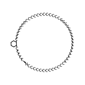 C1=NCCCCCCCCCCCCCCCCCCCCCCCCCCCCCCCCCCCCCCCCCCCCCCCCC2CCCCC2CCCCC1